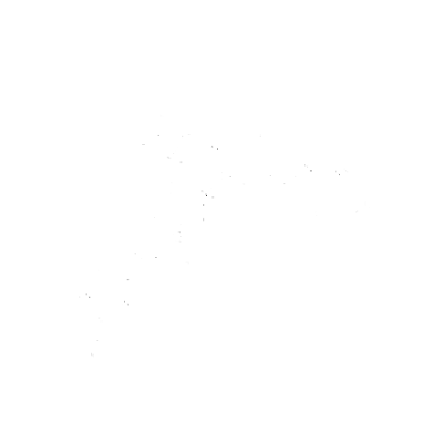 Cc1ccc(-c2cccc(N(CC34CCC(c5nc(C(C)C)no5)(CC3)CC4)C(=O)C34CC(F)(C3)C4)c2)cn1